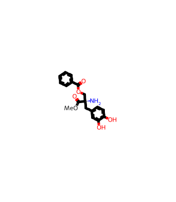 COC(=O)[C@@](N)(COC(=O)c1ccccc1)Cc1ccc(O)c(O)c1